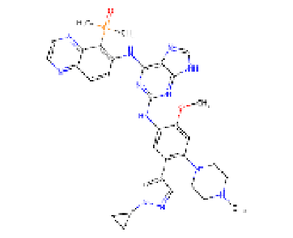 COc1cc(N2CCN(C)CC2)c(-c2cnn(C3CC3)c2)cc1Nc1nc(Nc2ccc3nccnc3c2P(C)(C)=O)c2nc[nH]c2n1